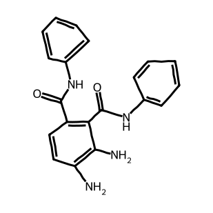 Nc1ccc(C(=O)Nc2ccccc2)c(C(=O)Nc2ccccc2)c1N